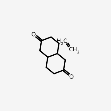 C=C.O=C1CCC2CC(=O)CCC2C1